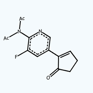 CC(=O)N(C(C)=O)c1ncc(C2=CCCC2=O)cc1F